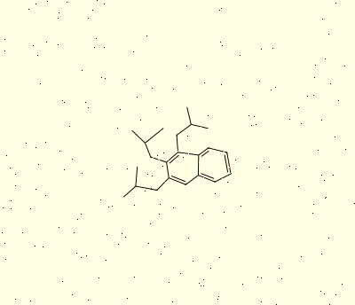 CC(C)Cc1cc2ccccc2c(CC(C)C)c1CC(C)C